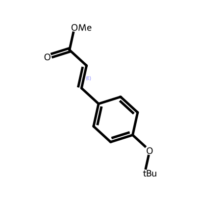 COC(=O)/C=C/c1ccc(OC(C)(C)C)cc1